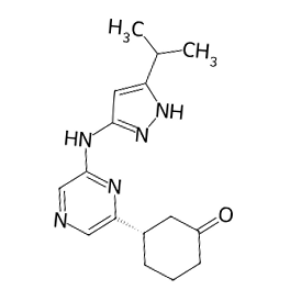 CC(C)c1cc(Nc2cncc([C@H]3CCCC(=O)C3)n2)n[nH]1